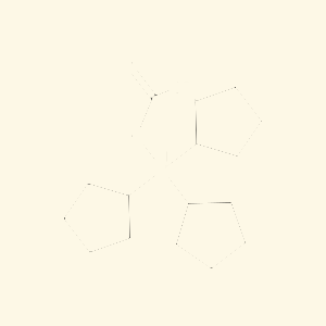 O=C(O[PH](C1CCCC1)(C1CCCC1)C1CCCC1)C(F)(F)F